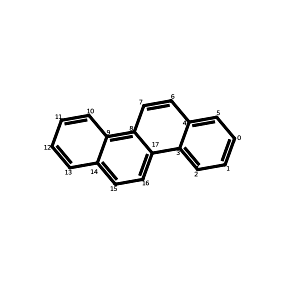 [c]1c[c]c2c(c1)ccc1c3ccccc3ccc21